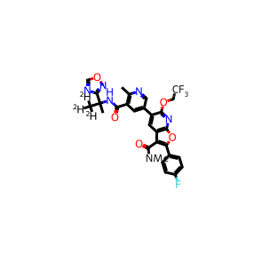 [2H]C([2H])([2H])C(C)(NC(=O)c1cc(-c2cc3c(C(=O)NC)c(-c4ccc(F)cc4)oc3nc2OCC(F)(F)F)cnc1C)c1ncon1